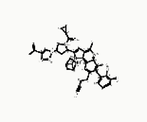 C=C(C)c1cn(C2CC(c3cc4c(C)nc5c(F)c(-c6cccc(Cl)c6Cl)c(CCC#N)cc5c4n3C3C4CNC3C4)N(C(=O)C3CC3)C2)nn1